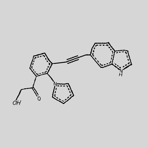 O=C(CO)c1cccc(C#Cc2ccc3cc[nH]c3c2)c1-n1cccc1